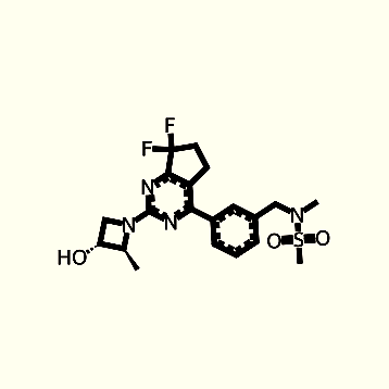 C[C@H]1[C@H](O)CN1c1nc(-c2cccc(CN(C)S(C)(=O)=O)c2)c2c(n1)C(F)(F)CC2